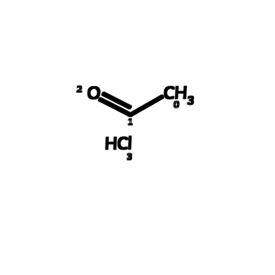 CC=O.Cl